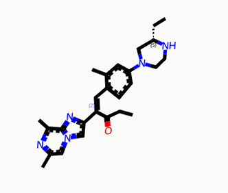 CCC(=O)/C(=C\c1ccc(N2CCN[C@@H](CC)C2)cc1C)c1cn2cc(C)nc(C)c2n1